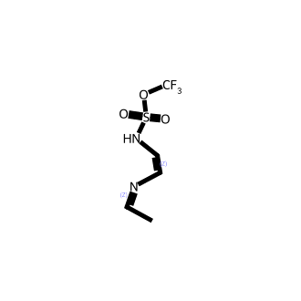 C/C=N\C=C/NS(=O)(=O)OC(F)(F)F